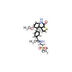 COc1ccc2[nH]c(=O)c3sccc3c2c1-c1ccc(C(C)NCCS(C)(=O)=O)cc1